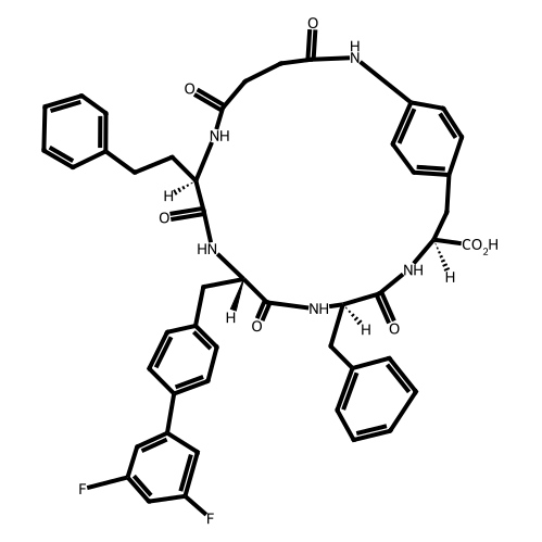 O=C1CCC(=O)N[C@H](CCc2ccccc2)C(=O)N[C@@H](Cc2ccc(-c3cc(F)cc(F)c3)cc2)C(=O)N[C@H](Cc2ccccc2)C(=O)N[C@H](C(=O)O)Cc2ccc(cc2)N1